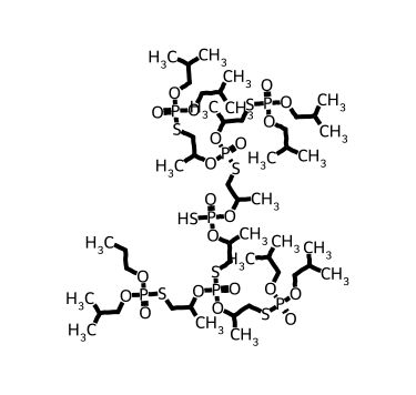 CCCOP(=O)(OCC(C)C)SCC(C)OP(=O)(OC(C)CSP(=O)(OCC(C)C)OCC(C)C)SCC(C)OP(=O)(S)OC(C)CSP(=O)(OC(C)CSP(=O)(OCC(C)C)OCC(C)C)OC(C)CSP(=O)(OCC(C)C)OCC(C)C